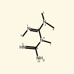 CN=C(N(C)C)N(C)C(=N)N